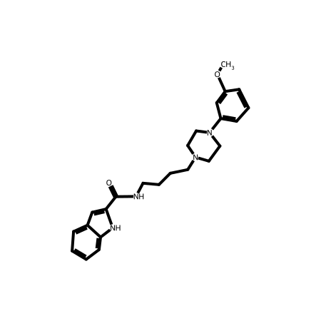 COc1cccc(N2CCN(CCCCNC(=O)c3cc4ccccc4[nH]3)CC2)c1